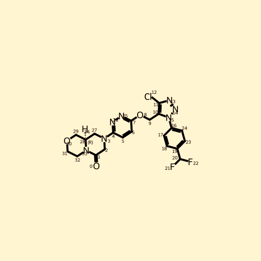 O=C1CN(c2ccc(OCc3c(Cl)nnn3-c3ccc(C(F)F)cc3)nn2)C[C@@H]2COCCN12